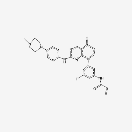 C=CC(=O)Nc1cc(F)cc(-n2ccc(=O)c3cnc(Nc4ccc(N5CCN(C)CC5)cc4)nc32)c1